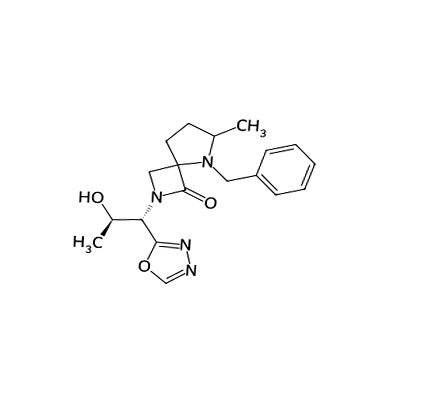 CC1CCC2(CN([C@H](c3nnco3)[C@@H](C)O)C2=O)N1Cc1ccccc1